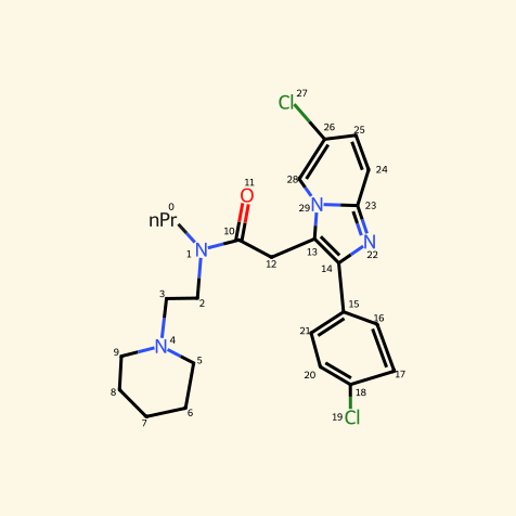 CCCN(CCN1CCCCC1)C(=O)Cc1c(-c2ccc(Cl)cc2)nc2ccc(Cl)cn12